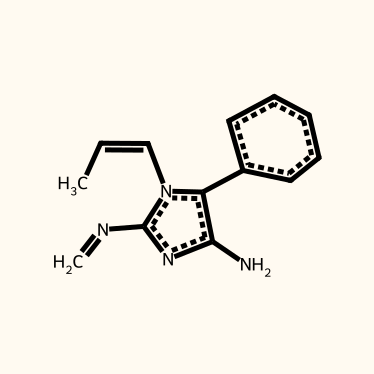 C=Nc1nc(N)c(-c2ccccc2)n1/C=C\C